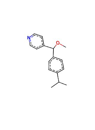 COC(c1ccncc1)c1ccc(C(C)C)cc1